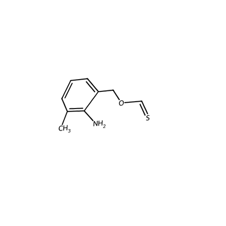 Cc1cccc(COC=S)c1N